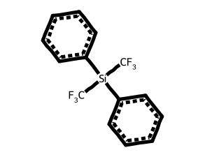 FC(F)(F)[Si](c1ccccc1)(c1ccccc1)C(F)(F)F